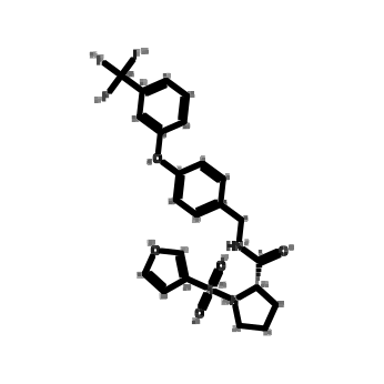 O=C(NCc1ccc(Oc2cccc(C(F)(F)F)c2)cc1)[C@@H]1CCCN1S(=O)(=O)c1ccoc1